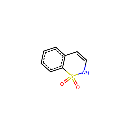 O=S1(=O)N[C]=Cc2ccccc21